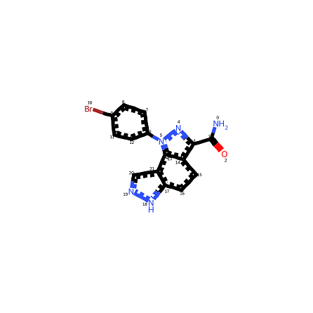 NC(=O)c1nn(-c2ccc(Br)cc2)c2c1ccc1[nH]ncc12